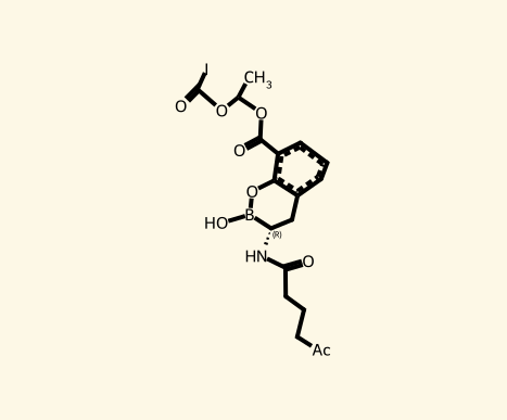 CC(=O)CCCC(=O)N[C@H]1Cc2cccc(C(=O)OC(C)OC(=O)I)c2OB1O